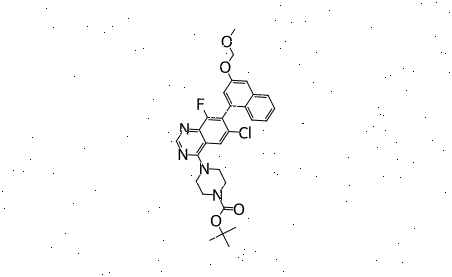 COCOc1cc(-c2c(Cl)cc3c(N4CCN(C(=O)OC(C)(C)C)CC4)ncnc3c2F)c2ccccc2c1